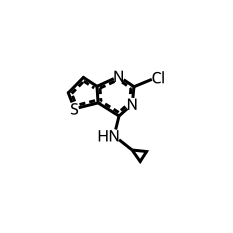 Clc1nc(NC2CC2)c2sccc2n1